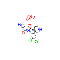 O=C([C@@H]1CN[C@H](CO)C1)N1C(=O)[C@@]2(CCNC2)c2cc(Cl)c(Cl)cc21